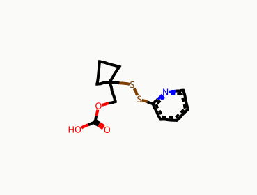 O=C(O)OCC1(SSc2ccccn2)CCC1